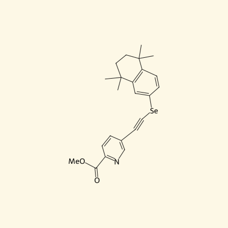 COC(=O)c1ccc(C#C[Se]c2ccc3c(c2)C(C)(C)CCC3(C)C)cn1